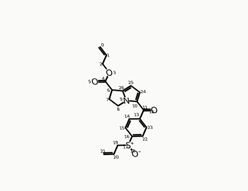 C=CCOC(=O)C1CCn2c(C(=O)c3ccc([S+]([O-])CC=C)cc3)ccc21